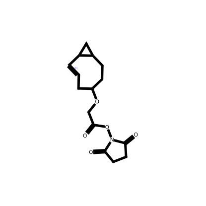 O=C(COC1C/C=C/C2CC2CC1)ON1C(=O)CCC1=O